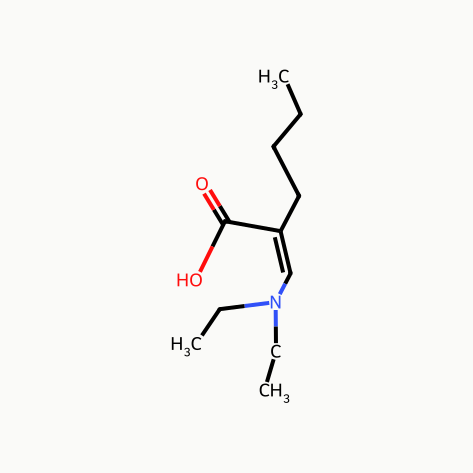 CCCCC(=CN(CC)CC)C(=O)O